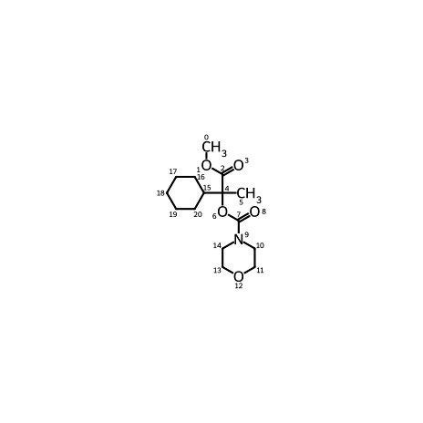 COC(=O)C(C)(OC(=O)N1CCOCC1)C1CCCCC1